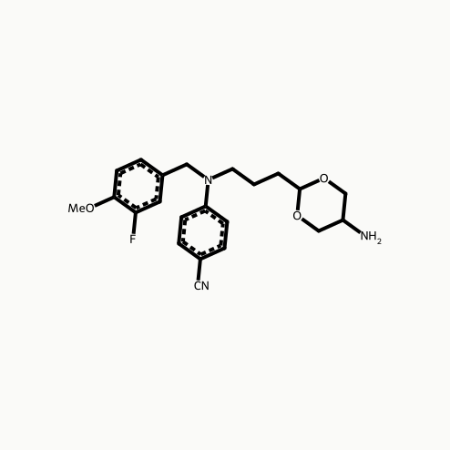 COc1ccc(CN(CCCC2OCC(N)CO2)c2ccc(C#N)cc2)cc1F